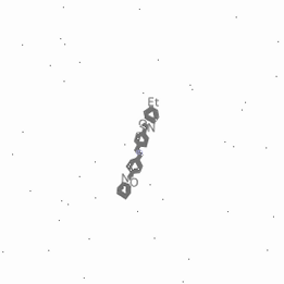 CCc1ccc2nc(-c3ccc(/C=C/c4ccc(-c5nc6ccccc6o5)cc4)cc3)oc2c1